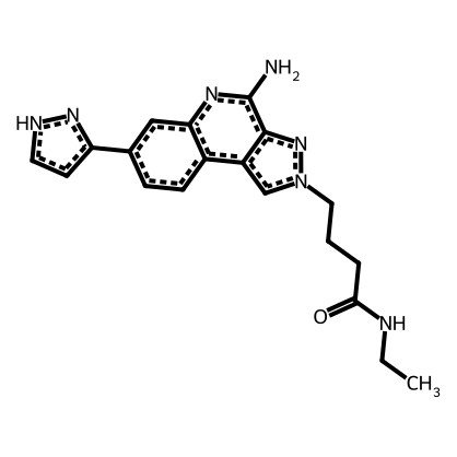 CCNC(=O)CCCn1cc2c(n1)c(N)nc1cc(-c3cc[nH]n3)ccc12